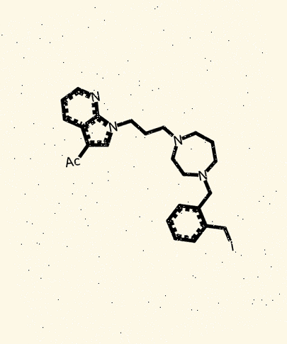 CC(=O)c1cn(CCCN2CCCN(Cc3ccccc3CI)CC2)c2ncccc12